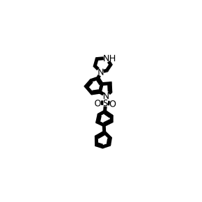 O=S(=O)(c1ccc(-c2ccccc2)cc1)n1ccc2c(N3CCNCC3)cccc21